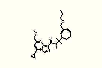 CCCOCC1=CC(C(C)(C)NC(=O)c2ncn3c(C4CC4)cc(COC)nc23)CCC=C1